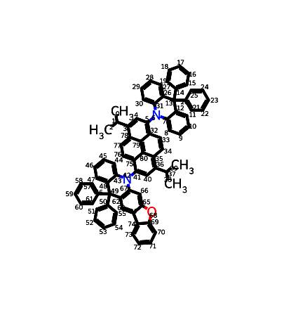 CC(C)c1cc(N2c3ccccc3C(c3ccccc3)(c3ccccc3)c3ccccc32)c2ccc3c(C(C)C)cc(N4c5ccccc5C(c5ccccc5)(c5ccccc5)c5cc6c(cc54)oc4ccccc46)c4ccc1c2c34